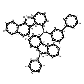 c1ccc(-c2cccc(N(c3cccc4sc5c6ccccc6ccc5c34)c3cccc4c3c3ccccc3n4-c3ccccc3)c2)cc1